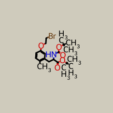 Cc1ccc(OCCBr)cc1CC(NC(=O)OC(C)(C)C)C(=O)OC(C)(C)C